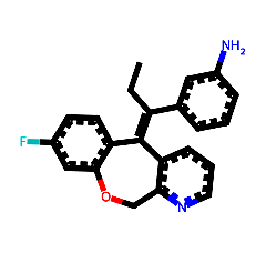 CC/C(=C1\c2ccc(F)cc2OCc2ncccc21)c1cccc(N)c1